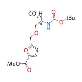 COC(=O)c1ccc(COC[C@H](NC(=O)OC(C)(C)C)C(=O)O)o1